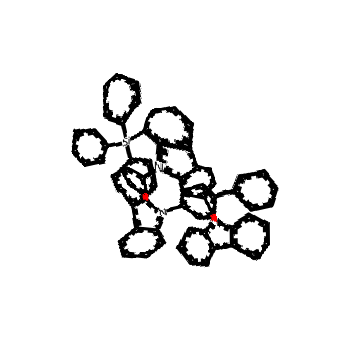 c1ccc(-c2ccc(-n3c4ccccc4c4cccc(-n5c6cc(-n7c8ccccc8c8ccccc87)ccc6c6cccc([Si](c7ccccc7)(c7ccccc7)c7ccccc7)c65)c43)cc2)cc1